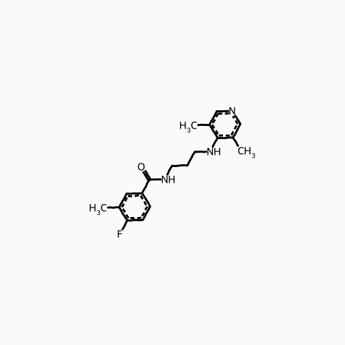 Cc1cc(C(=O)NCCCNc2c(C)cncc2C)ccc1F